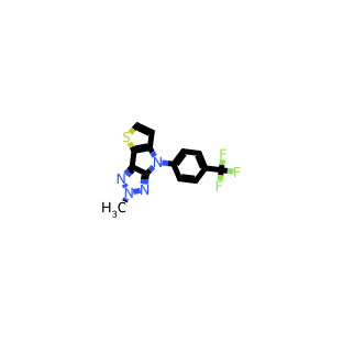 Cn1nc2c3sccc3n(-c3ccc(C(F)(F)F)cc3)c2n1